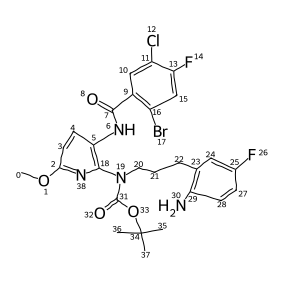 COc1ccc(NC(=O)c2cc(Cl)c(F)cc2Br)c(N(CCCc2cc(F)ccc2N)C(=O)OC(C)(C)C)n1